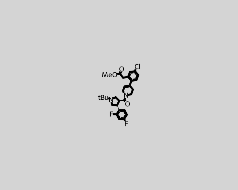 COC(=O)Cc1cc(Cl)ccc1C1=CCN(C(=O)[C@@H]2CN(C(C)(C)C)C[C@H]2c2ccc(F)cc2F)CC1